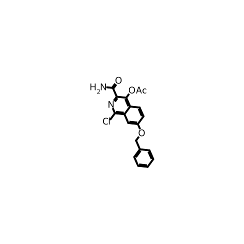 CC(=O)Oc1c(C(N)=O)nc(Cl)c2cc(OCc3ccccc3)ccc12